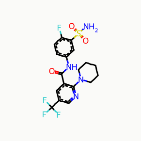 NS(=O)(=O)c1cc(NC(=O)c2cc(C(F)(F)F)cnc2N2CCCCC2)ccc1F